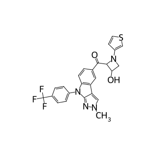 Cn1cc2c3cc(C(=O)C4C(O)CN4c4ccsc4)ccc3n(-c3ccc(C(F)(F)F)cc3)c2n1